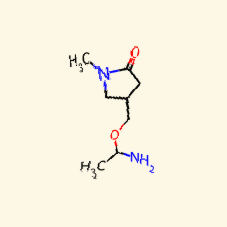 CC(N)OCC1CC(=O)N(C)C1